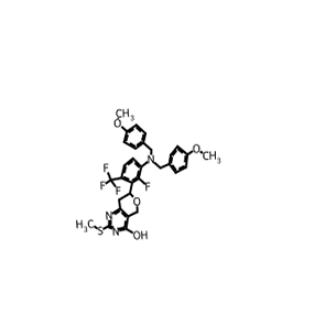 COc1ccc(CN(Cc2ccc(OC)cc2)c2ccc(C(F)(F)F)c(C3Cc4nc(SC)nc(O)c4CO3)c2F)cc1